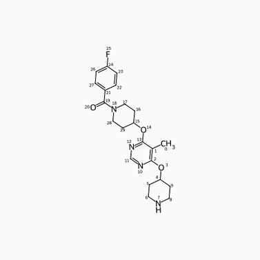 Cc1c(OC2CCNCC2)ncnc1OC1CCN(C(=O)c2ccc(F)cc2)CC1